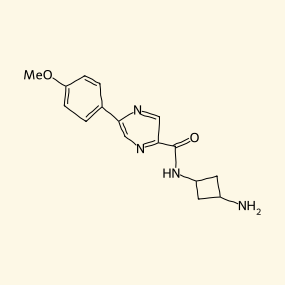 COc1ccc(-c2cnc(C(=O)NC3CC(N)C3)cn2)cc1